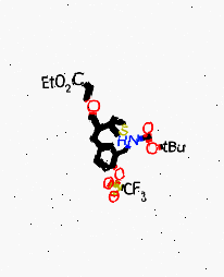 CCOC(=O)CCOCC(Cc1ccc(OS(=O)(=O)C(F)(F)F)c(CNC(=O)OC(C)(C)C)c1)c1ccsc1